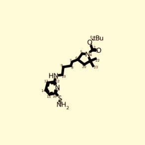 CC(C)(C)OC(=O)N1CC(CCCCNc2cccc(SN)n2)CC1(C)C